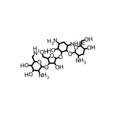 CC(=O)NC1CC(N)C(O)C(OC2OC(CO)C(OC3OC(CN)C(O)C(O)C3N)C2O)C1OC1OC(CO)C(O)CC1N